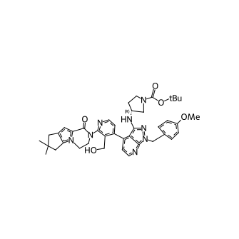 COc1ccc(Cn2nc(N[C@@H]3CCN(C(=O)OC(C)(C)C)C3)c3c(-c4ccnc(N5CCn6c(cc7c6CC(C)(C)C7)C5=O)c4CO)ccnc32)cc1